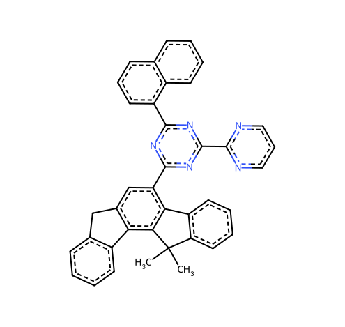 CC1(C)c2ccccc2-c2c(-c3nc(-c4ncccn4)nc(-c4cccc5ccccc45)n3)cc3c(c21)-c1ccccc1C3